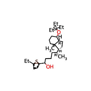 CCc1ccc(C(O)CCC[C@@H](C)[C@H]2CC[C@H]3C(O[Si](CC)(CC)CC)CCC[C@]23C)s1